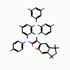 Cc1cc2c3c(c1)N(c1ccc(C(C)(C)C)cc1)c1oc4cc5c(cc4c1B3c1ccc(C(C)(C)C)cc1N2c1cc(C(C)(C)C)cc(C(C)(C)C)c1)C(C)(C)CC5(C)C